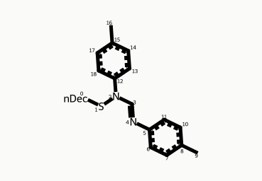 CCCCCCCCCCSN(C=Nc1ccc(C)cc1)c1ccc(C)cc1